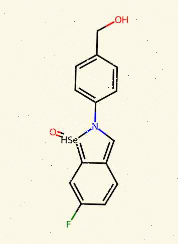 O=[SeH]1=c2cc(F)ccc2=CN1c1ccc(CO)cc1